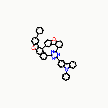 c1ccc(-c2ccc3oc4cccc(-c5ccc6oc7cccc(-c8nc(-c9ccccc9)nc(-c9ccc%10c(c9)c9ccccc9n%10-c9ccccc9)n8)c7c6c5)c4c3c2)cc1